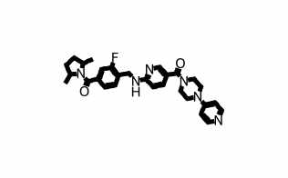 CC1CCC(C)N1C(=O)c1ccc(CNc2ccc(C(=O)N3CCN(c4ccncc4)CC3)cn2)c(F)c1